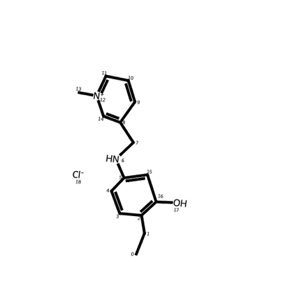 CCc1ccc(NCc2ccc[n+](C)c2)cc1O.[Cl-]